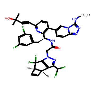 CCOC(=O)Nc1nnc2ccc(-c3ccc(C#CC(C)(C)O)nc3[C@H](Cc3cc(F)cc(F)c3)NC(=O)Cn3nc(C(F)F)c4c3C(F)(F)[C@@H]3C=C[C@H]43)cn12